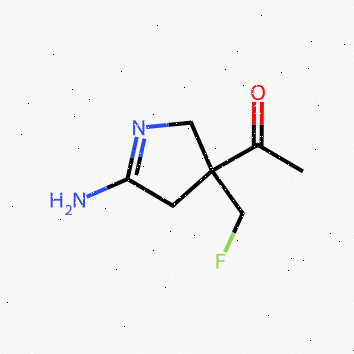 CC(=O)C1(CF)CN=C(N)C1